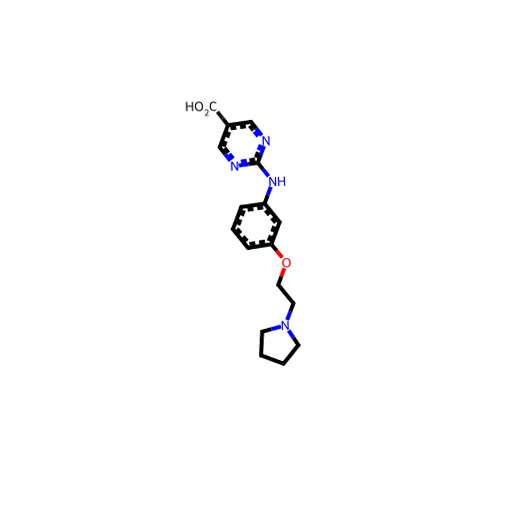 O=C(O)c1cnc(Nc2cccc(OCCN3CCCC3)c2)nc1